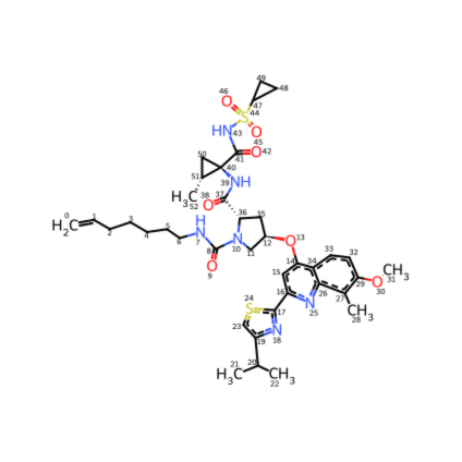 C=CCCCCCNC(=O)N1C[C@H](Oc2cc(-c3nc(C(C)C)cs3)nc3c(C)c(OC)ccc23)C[C@H]1C(=O)N[C@]1(C(=O)NS(=O)(=O)C2CC2)C[C@H]1C